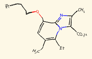 CCc1c(C)cc(OCCC(C)C)c2nc(C)c(C(=O)O)n12